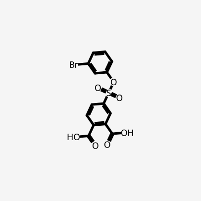 O=C(O)c1ccc(S(=O)(=O)Oc2cccc(Br)c2)cc1C(=O)O